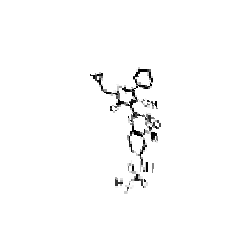 CS(=O)(=O)Nc1ccc2c(c1)S(=O)(=O)NC(c1c(O)c(-c3ccccc3)nn(CC3CC3)c1=O)=N2